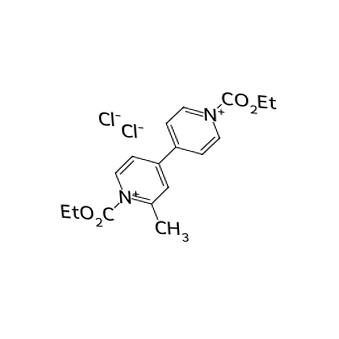 CCOC(=O)[n+]1ccc(-c2cc[n+](C(=O)OCC)c(C)c2)cc1.[Cl-].[Cl-]